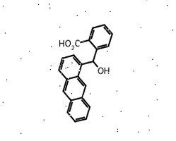 O=C(O)c1ccccc1C(O)c1cccc2cc3ccccc3cc12